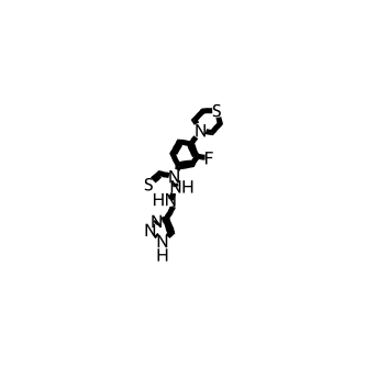 Fc1cc(N(C=S)NNCc2c[nH]nn2)ccc1N1CCSCC1